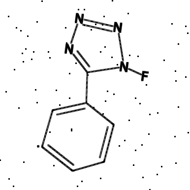 Fn1nnnc1-c1c[c]ccc1